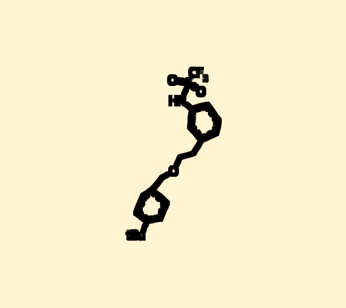 CC(C)(C)c1ccc(COCCc2cccc(NS(=O)(=O)C(F)(F)F)c2)cc1